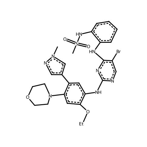 CCOc1cc(N2CCOCC2)c(-c2cnn(C)c2)cc1Nc1ncc(Br)c(Nc2ccccc2NS(C)(=O)=O)n1